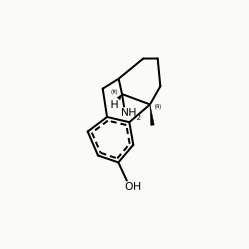 C[C@@]12CCCC(Cc3ccc(O)cc31)[C@H]2N